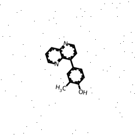 Cc1cc(-c2ccnc3cccnc23)ccc1O